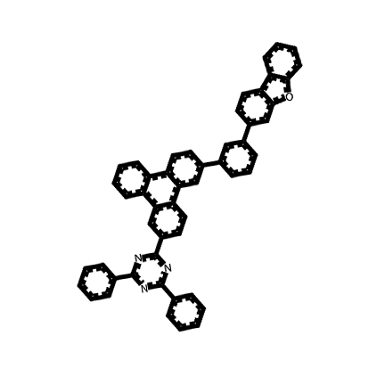 c1ccc(-c2nc(-c3ccccc3)nc(-c3ccc4c5cc(-c6cccc(-c7ccc8c(c7)oc7ccccc78)c6)ccc5c5ccccc5c4c3)n2)cc1